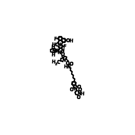 C#Cc1c(F)ccc2cc(O)cc(-c3ncc4c(N5C[C@H]6CC[C@@H](C5)N6)nc(OC[C@@]56CC[C@@H](COC(=O)NCCCCCCCc7ccc8c(c7)C(=O)N(C7CCC(=O)NC7=O)C8=O)N5CC(=C)C6)nc4c3F)c12